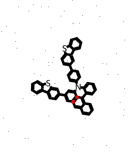 c1cc2ccccc2c(-c2ccccc2N(C2=CC(c3ccc4c(c3)sc3ccccc34)=CCC2)c2ccc(-c3ccc4sc5ccccc5c4c3)cc2)c#1